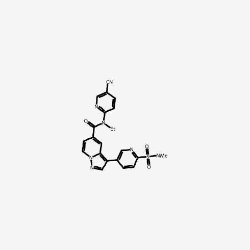 CCN(C(=O)c1ccn2ncc(-c3ccc(S(=O)(=O)NC)nc3)c2c1)c1ccc(C#N)cn1